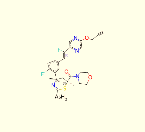 C#CCOc1cnc(/C(F)=C/c2ccc(F)c([C@]3(C)C[C@@](C)(C(=O)N4CCOCC4)SC([AsH2])=N3)c2)cn1